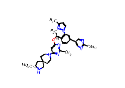 COc1ncc(-c2ccc([C@@H](Oc3cc(N4CCC5(CC4)CN[C@H](C(=O)O)C5)nc(C)n3)C(F)(F)F)c(-n3ccc(C)n3)c2)cn1